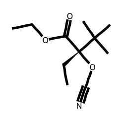 CCOC(=O)[C@@](CC)(OC#N)C(C)(C)C